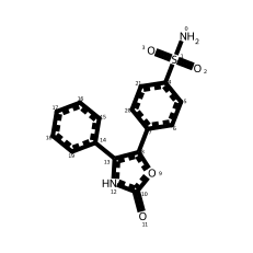 NS(=O)(=O)c1ccc(-c2oc(=O)[nH]c2-c2ccccc2)cc1